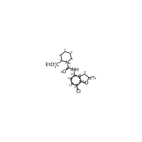 CCOC(=O)C1CCCCN1C(=O)Nc1ccc(Cl)c2c1CC(C)O2